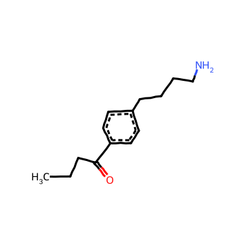 CCCC(=O)c1ccc(CCCCN)cc1